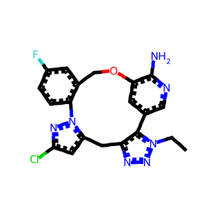 CCn1nnc2c1-c1cnc(N)c(c1)OCc1cc(F)ccc1-n1nc(Cl)cc1C2